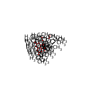 CCc1cc(C(C)(C)C)cc(C(C)(C)C)c1C(OP(OC(c1c(CC)cc(C(C)(C)C)cc1C(C)(C)C)c1c(CC)cc(C(C)(C)C)cc1C(C)(C)C)OC(c1c(CC)cc(C(C)(C)C)cc1C(C)(C)C)c1c(CC)cc(C(C)(C)C)cc1C(C)(C)C)c1c(CC)cc(C(C)(C)C)cc1C(C)(C)C